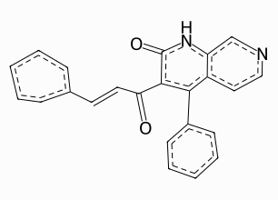 O=C(C=Cc1ccccc1)c1c(-c2ccccc2)c2ccncc2[nH]c1=O